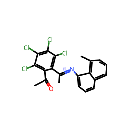 CC(=O)c1c(Cl)c(Cl)c(Cl)c(Cl)c1/C(C)=N/c1cccc2cccc(C)c12